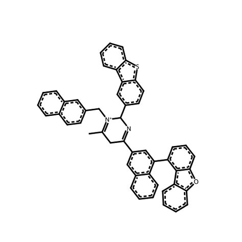 CC1=[N+](Cc2ccc3ccccc3c2)C(c2ccc3sc4ccccc4c3c2)N=C(c2cc(-c3cccc4oc5ccccc5c34)c3ccccc3c2)C1